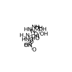 N=C1NCC(C(O)[C@H](N)C(=O)N[C@@H](CO)C(=O)NC[C]=O)N1C1OC(CO)C(O)C(O)C1O